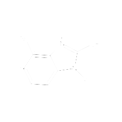 Cn1c(C(F)(F)F)nc2c(Br)cccc21